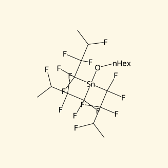 CCCCCC[O][Sn]([C](F)(F)C(F)(F)C(C)F)([C](F)(F)C(F)(F)C(C)F)[C](F)(F)C(F)(F)C(C)F